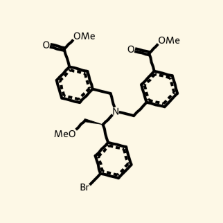 COC[C@H](c1cccc(Br)c1)N(Cc1cccc(C(=O)OC)c1)Cc1cccc(C(=O)OC)c1